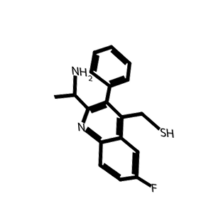 CC(N)c1nc2ccc(F)cc2c(CS)c1-c1ccccc1